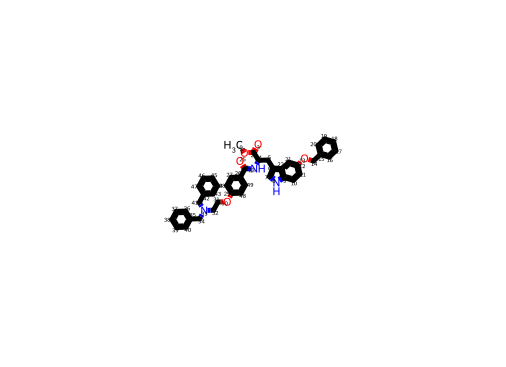 COC(=O)C(Cc1c[nH]c2ccc(OCc3ccccc3)cc12)NC(=O)c1ccc(OCCN(Cc2ccccc2)Cc2ccccc2)cc1